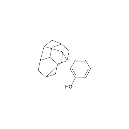 C1C2CC3C4CC5CC(C14)C(C2)C3C5.Oc1ccccc1